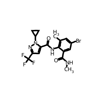 CNC(=O)c1cc(Br)cc(C)c1NC(=O)c1cc(C(F)(F)F)nn1C1CC1